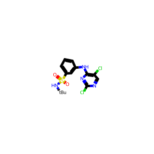 CC(C)(C)NS(=O)(=O)c1cccc(Nc2nc(Cl)ncc2Cl)c1